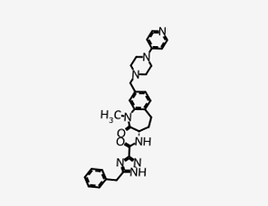 CN1C(=O)[C@@H](NC(=O)c2n[nH]c(Cc3ccccc3)n2)CCc2ccc(CN3CCN(c4ccncc4)CC3)cc21